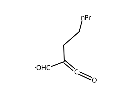 CCCCCC([C]=O)=C=O